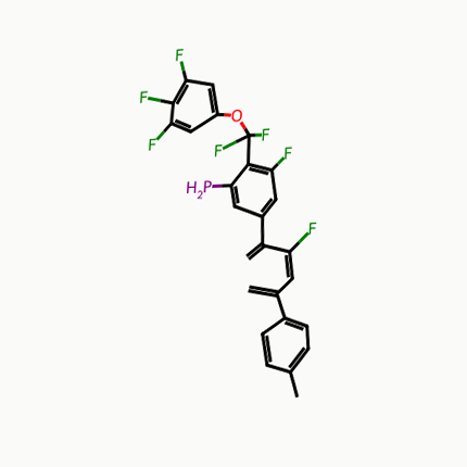 C=C(/C=C(/F)C(=C)c1cc(F)c(C(F)(F)Oc2cc(F)c(F)c(F)c2)c(P)c1)c1ccc(C)cc1